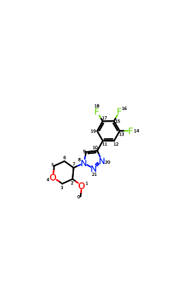 COC1COCCC1n1cc(-c2cc(F)c(F)c(F)c2)nn1